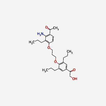 CCCc1cc(C(=O)CO)cc(CCC)c1OCCCOc1ccc(C(C)=O)c(N)c1CCC